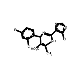 CC1=C(C(=O)O)C(c2ccc(F)cc2Cl)N=C(c2ncsc2Cl)N1